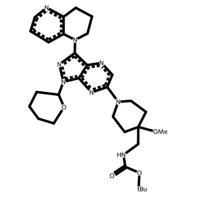 COC1(CNC(=O)OC(C)(C)C)CCN(c2cnc3c(N4CCCc5ncccc54)nn(C4CCCCO4)c3n2)CC1